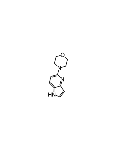 c1cc2nc(N3CCOCC3)ccc2[nH]1